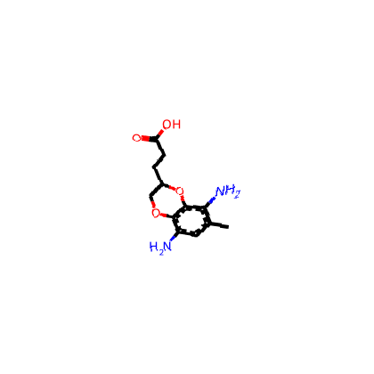 Cc1cc(N)c2c(c1N)OC(CCC(=O)O)CO2